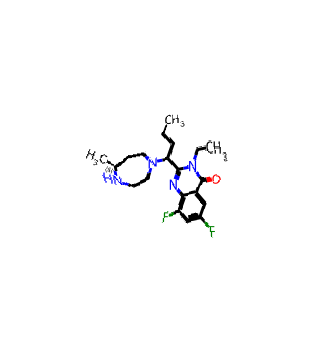 CCCC(c1nc2c(F)cc(F)cc2c(=O)n1CC)N1CCN[C@@H](C)CC1